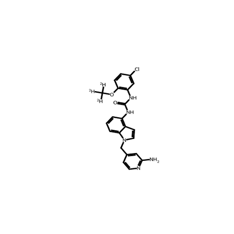 [2H]C([2H])([2H])Oc1ccc(Cl)cc1NC(=O)Nc1cccc2c1ccn2Cc1ccnc(N)c1